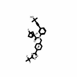 CC(C)(O)C#Cc1cccc(N(CC23CCC(c4noc(C(C)(F)F)n4)(CC2)CC3)C(=O)[C@@H]2CC3(F)CC2C3)c1